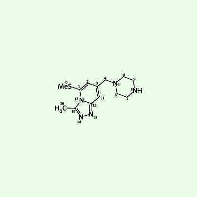 CSc1cc(CN2CCNCC2)cc2nnc(C)n12